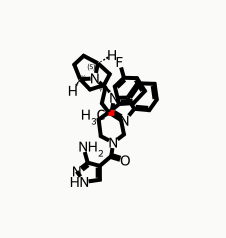 Cc1nc2ccccc2n1[C@H]1C[C@H]2CC[C@@H](C1)N2CCC1(c2cccc(F)c2)CCN(C(=O)c2c[nH]nc2N)CC1